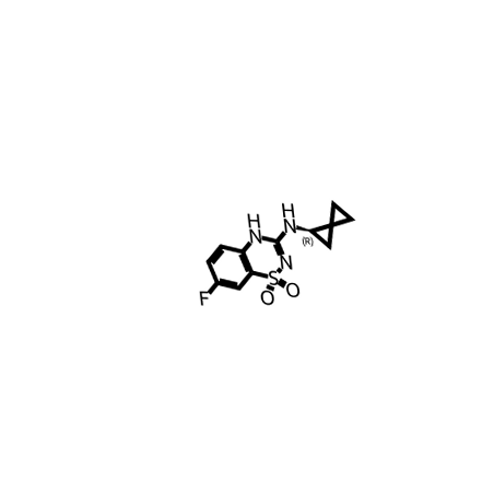 O=S1(=O)N=C(N[C@@H]2CC23CC3)Nc2ccc(F)cc21